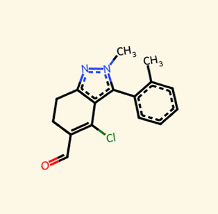 Cc1ccccc1-c1c2c(nn1C)CCC(C=O)=C2Cl